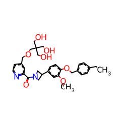 CCc1ccc(COc2ccc(C3CN(C(=O)c4cc(COCC(CO)(CO)CO)ccn4)C3)cc2OC)cc1